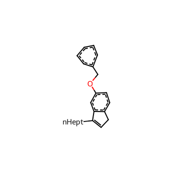 CCCCCCCC1=CCc2ccc(OCc3ccccc3)cc21